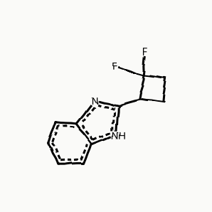 FC1(F)CCC1c1nc2ccccc2[nH]1